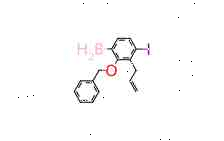 Bc1ccc(I)c(CC=C)c1OCc1ccccc1